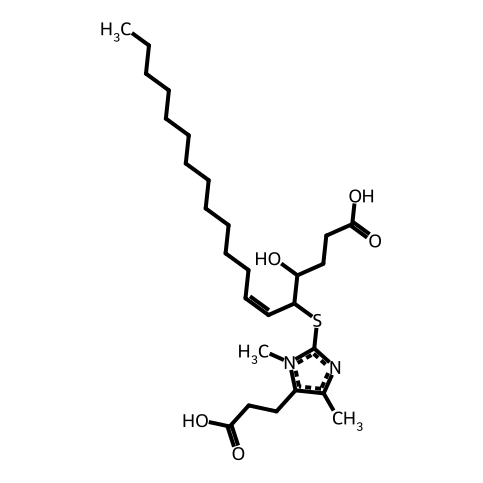 CCCCCCCCCCCC/C=C\C(Sc1nc(C)c(CCC(=O)O)n1C)C(O)CCC(=O)O